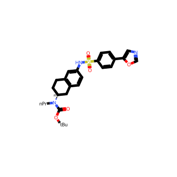 CCCN(C(=O)OC(C)(C)C)[C@@H]1CCc2cc(NS(=O)(=O)c3ccc(-c4cnco4)cc3)ccc2C1